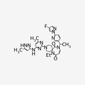 CCN1C(=O)C=CN(C(C)c2ccc(-n3cc(F)cn3)nc2)C(=O)C12CCN(c1nc(C)cc(Nc3cc(C)[nH]n3)n1)CC2